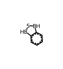 B1SBc2ccccc21